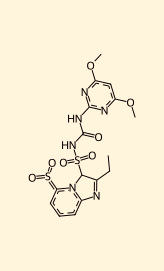 CCC1=Nc2cccc(=S(=O)=O)n2C1S(=O)(=O)NC(=O)Nc1nc(OC)cc(OC)n1